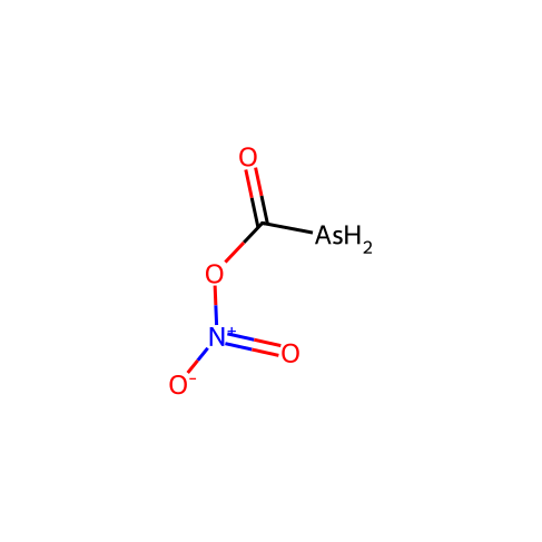 O=C([AsH2])O[N+](=O)[O-]